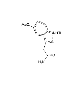 COc1ccc2[nH]cc(CC(N)=O)c2c1.Cl